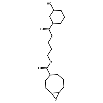 O=C(OCCCOC(=O)C1CCCC(O)C1)C1CCCC2OC2CC1